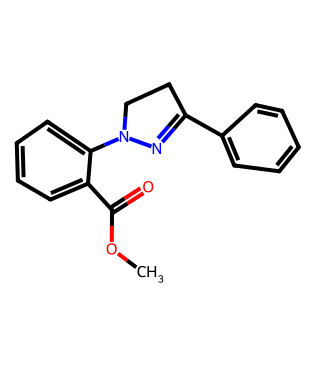 COC(=O)c1ccccc1N1CCC(c2ccccc2)=N1